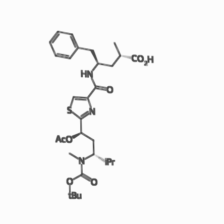 CC(=O)O[C@H](C[C@H](C(C)C)N(C)C(=O)OC(C)(C)C)c1nc(C(=O)N[C@@H](Cc2ccccc2)C[C@H](C)C(=O)O)cs1